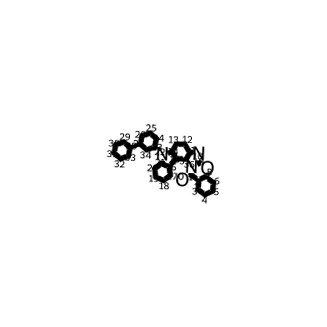 O=c1c2ccccc2oc2nc3ccc4c(c5ccccc5n4-c4cccc(-c5ccccc5)c4)c3n12